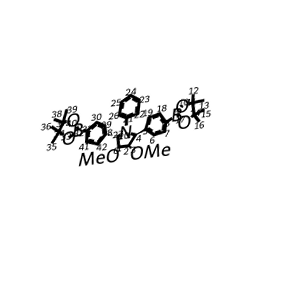 CO[C@H]1[C@H](OC)[C@H](c2ccc(B3OC(C)(C)C(C)(C)O3)cc2)N(c2ccccc2)[C@H]1c1ccc(B2OC(C)(C)C(C)(C)O2)cc1